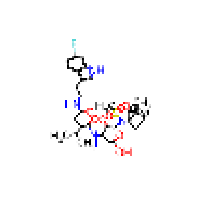 CC(C)C(CC(=O)NCCc1c[nH]c2cc(F)ccc12)C(=O)NC(CC(=O)O)C(=O)CN(C12CCC(CC1=O)C2(C)C)S(C)(=O)=O